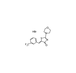 Br.O=C1N=C(N2CCOCC2)SC1=Cc1cccc(C(F)(F)F)c1